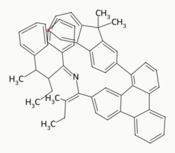 CC/C(C)=C(/N=C(/c1ccccc1)C(CC)C(C)c1ccccc1)c1ccc2c3ccccc3c3cccc(-c4ccc5c(c4)C(C)(C)c4ccccc4-5)c3c2c1